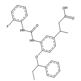 CCC(Oc1ccc(C(C)CC(=O)O)cc1NC(=O)Nc1ccccc1F)c1ccccc1